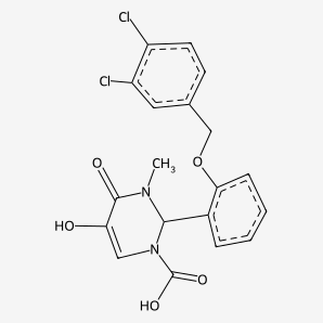 CN1C(=O)C(O)=CN(C(=O)O)C1c1ccccc1OCc1ccc(Cl)c(Cl)c1